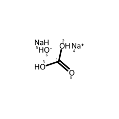 O=C(O)O.[Na+].[NaH].[OH-]